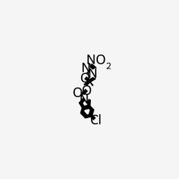 C[C@]1(COC(=O)N2Cc3ccc(Cl)cc3C2)Cn2cc([N+](=O)[O-])nc2O1